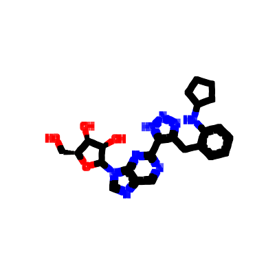 OC[C@H]1OC(n2cnc3cnc(-c4[nH]nnc4Cc4ccccc4NC4CCCC4)nc32)[C@H](O)[C@@H]1O